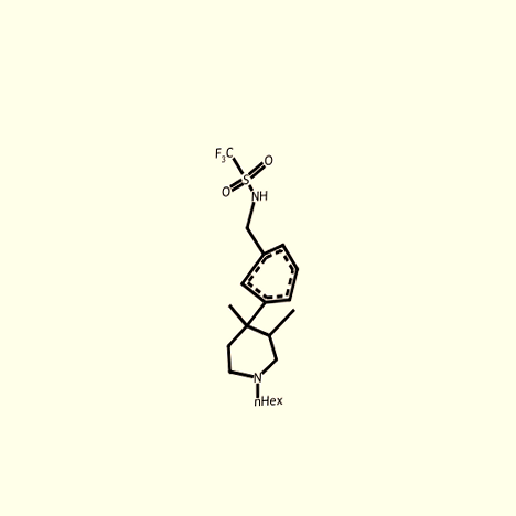 CCCCCCN1CCC(C)(c2cccc(CNS(=O)(=O)C(F)(F)F)c2)C(C)C1